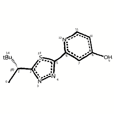 C[C@@H](c1nnc(-c2cc(O)ccn2)s1)C(C)(C)C